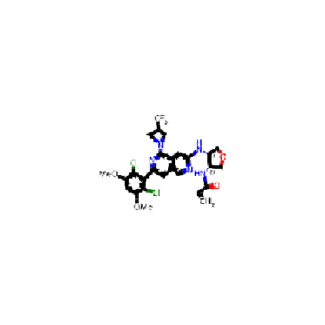 C=CC(=O)N[C@H]1COC[C@H]1Nc1cc2c(N3CC(C(F)(F)F)C3)nc(-c3c(Cl)c(OC)cc(OC)c3Cl)cc2cn1